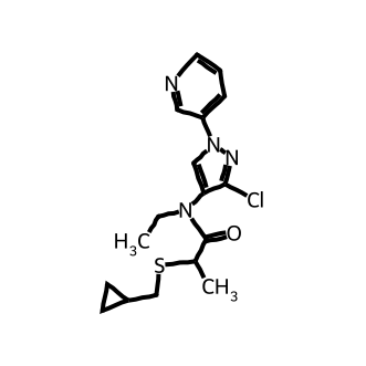 CCN(C(=O)C(C)SCC1CC1)c1cn(-c2cccnc2)nc1Cl